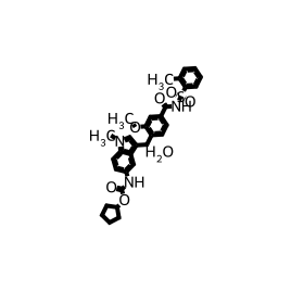 COc1cc(C(=O)NS(=O)(=O)c2ccccc2C)ccc1Cc1cn(C)c2ccc(NC(=O)OC3CCCC3)cc12.O